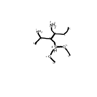 CCC(N)C(C(C)N)[SiH](OC)OC